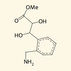 COC(=O)C(O)C(O)c1ccccc1CN